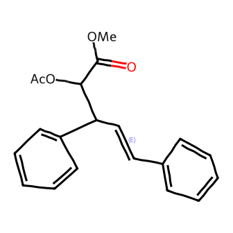 COC(=O)C(OC(C)=O)C(/C=C/c1ccccc1)c1ccccc1